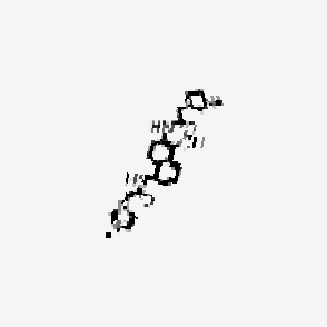 C[n+]1ccn(CC(=O)Nc2ccc3c(NC(=O)Cn4cc[n+](C)c4)cccc3c2O)c1